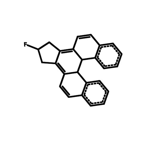 FC1CC2=C3C=Cc4ccccc4C3C3C(=C2C1)C=Cc1ccccc13